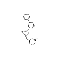 CN1CCCC(CN2CC(c3cncc(-c4ccccc4)c3)=C3C=C32)C1